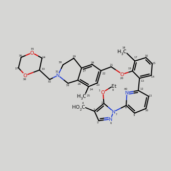 CCOc1c(C(=O)O)cnn1-c1cccc(-c2cccc(C)c2OCc2cc(C)c3c(c2)CCN(CC2COCCO2)C3)n1